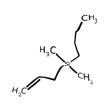 C=CC[Si](C)(C)CCC